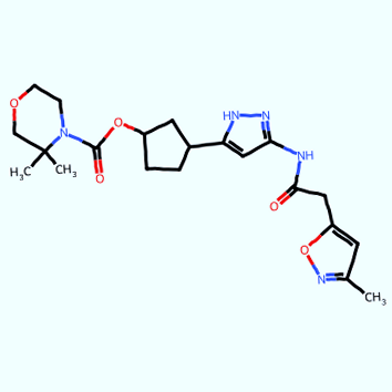 Cc1cc(CC(=O)Nc2cc(C3CCC(OC(=O)N4CCOCC4(C)C)C3)[nH]n2)on1